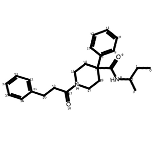 CCC(C)NC(=O)C1(c2ccccc2)CCN(C(=O)CCc2ccccc2)CC1